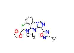 CN(CC1OCCO1)c1nc2c(-c3nc(C4CC4)no3)ncn2c2cccc(F)c12